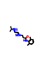 Cc1cccc(C)c1NC(=O)CCNCCNC(C)C